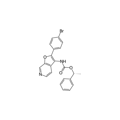 C[C@@H](OC(=O)Nc1c(-c2ccc(Br)cc2)oc2cnccc12)c1ccccc1